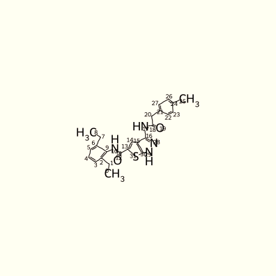 CCc1cccc(CC)c1NC(=O)c1cc2c(NC(=O)Cc3ccc(C)cc3)n[nH]c2s1